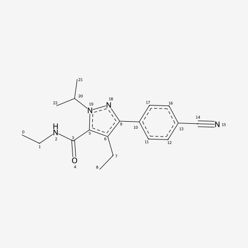 CCNC(=O)c1c(CC)c(-c2ccc(C#N)cc2)nn1C(C)C